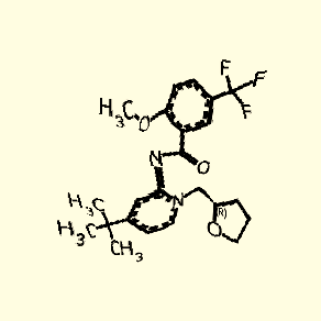 COc1ccc(C(F)(F)F)cc1C(=O)N=c1cc(C(C)(C)C)ccn1C[C@H]1CCCO1